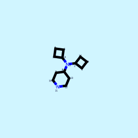 C1CC(N(C2CCC2)C2CC[N]CC2)C1